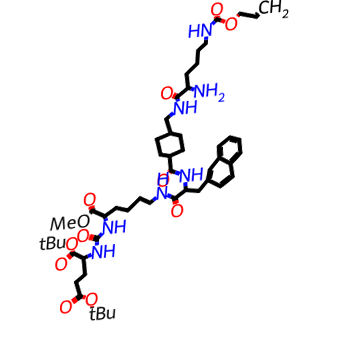 C=CCOC(=O)NCCCCC(N)C(=O)NCC1CCC(C(=O)NC(Cc2ccc3ccccc3c2)C(=O)NCCCCC(NC(=O)NC(CCC(=O)OC(C)(C)C)C(=O)OC(C)(C)C)C(=O)OC)CC1